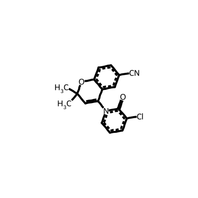 CC1(C)C=C(n2cccc(Cl)c2=O)c2cc(C#N)ccc2O1